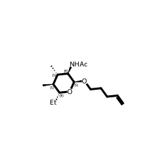 C=CCCCO[C@H]1O[C@H](CC)[C@@H](C)[C@H](C)[C@H]1NC(C)=O